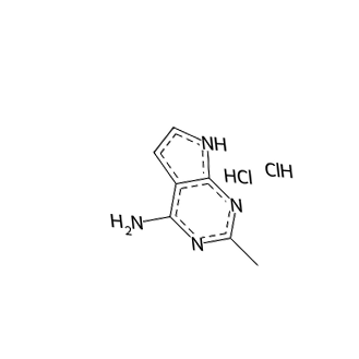 Cc1nc(N)c2cc[nH]c2n1.Cl.Cl